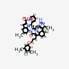 Cc1cc(N2C[C@@H](C)n3c(c(CCCOc4cc(C)c(Cl)c(C)c4)c4ccc(Cl)c(-c5c(C)n[nH]c5C)c43)C2=O)c2c(c1)cc(C(=O)O)n2Cc1ccccn1